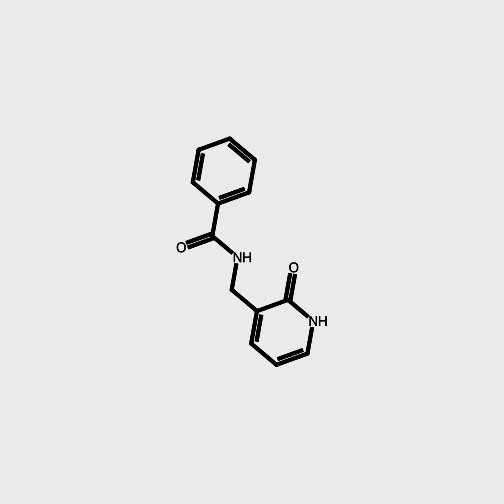 O=C(NCc1ccc[nH]c1=O)c1ccccc1